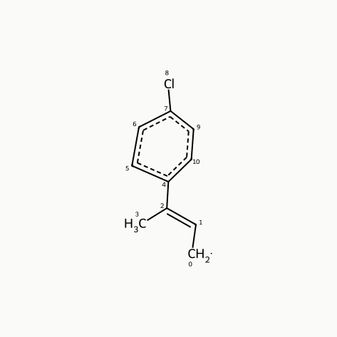 [CH2]C=C(C)c1ccc(Cl)cc1